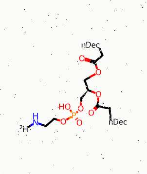 [2H]NCCOP(=O)(O)OC[C@@H](COC(=O)CCCCCCCCCCC)OC(=O)CCCCCCCCCCC